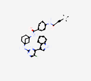 C[Si](C)(C)C#CC(=O)Nc1ccc(C(=O)NC23CCCC(Nc4ncc(Cl)c(-c5c[nH]c6ccccc56)n4)(C2)C3)cc1